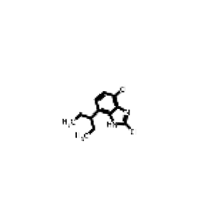 CCC(CC)c1ccc(Cl)c2nc(Cl)[nH]c12